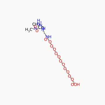 CCCN(OCC)C(=O)C1=Cc2c(cnn2CCCCCNC(=O)CCOCCOCCOCCOCCOCCOCCOCCOCCOCCOCCOCCC(=O)O)N=C(N)C1